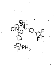 O=C(Cn1cc([S+]([O-])N2CCC(c3ccc(-c4cc(F)c(F)c(F)c4)cc3)CC2)ccc1=O)c1ccc(-c2cc(F)c(F)c(P)c2)cc1